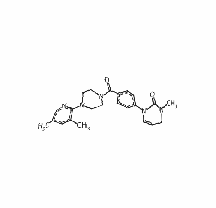 Cc1cnc(N2CCN(C(=O)c3ccc(N4C=CCN(C)C4=O)cc3)CC2)c(C)c1